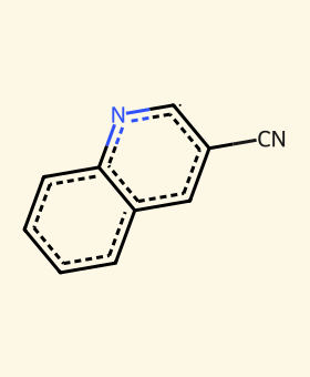 N#Cc1[c]nc2ccccc2c1